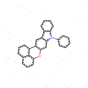 c1ccc(-n2c3ccccc3c3cc4c(cc32)Oc2cccc3cccc-4c23)cc1